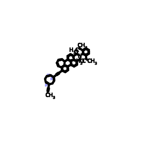 CC#C/C1=C/C/C=C\C(C#Cc2ccc3c4c2C=CC=CC4c2ccc4c5c(ccc-3c25)C(=O)N(c2c(C(C)C)cccc2C(C)C)C4=O)=C/C1